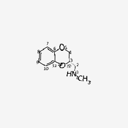 CNC[C@H]1COc2ccccc2O1